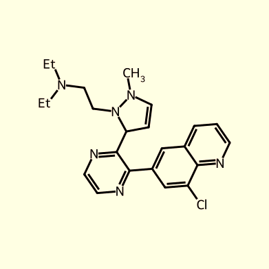 CCN(CC)CCN1C(c2nccnc2-c2cc(Cl)c3ncccc3c2)C=CN1C